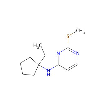 CCC1(Nc2ccnc(SC)n2)CCCC1